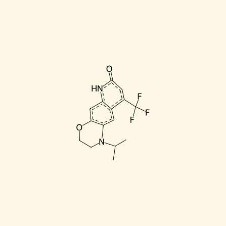 CC(C)N1CCOc2cc3[nH]c(=O)cc(C(F)(F)F)c3cc21